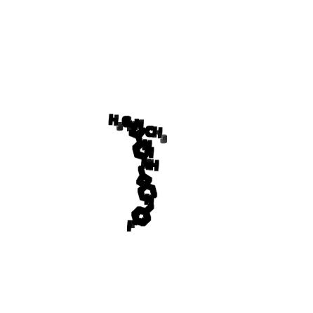 Cc1nn(C)cc1-c1ccc(NCC2CC3(CCN(Cc4ccc(F)cc4)CC3)C2)nn1